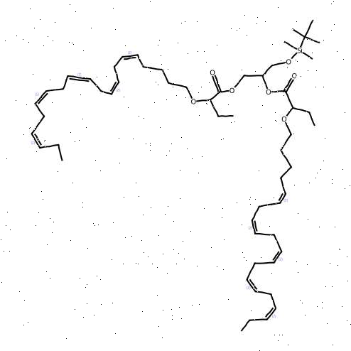 CC/C=C\C/C=C\C/C=C\C/C=C\C/C=C\CCCCOC(CC)C(=O)OCC(CO[Si](C)(C)C(C)(C)C)OC(=O)C(CC)OCCCC/C=C\C/C=C\C/C=C\C/C=C\C/C=C\CC